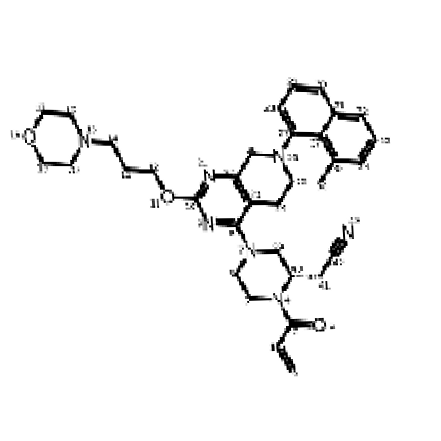 C=CC(=O)N1CCN(c2nc(OCCCN3CCOCC3)nc3c2CCN(c2cccc4cccc(C)c24)C3)C[C@@H]1CC#N